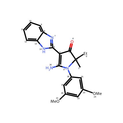 CCC1(C)C(=O)C(c2nc3ccccc3[nH]2)=C(N)N1c1cc(OC)cc(OC)c1